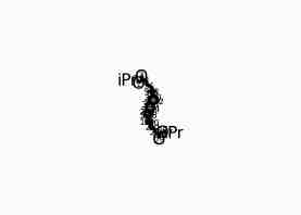 CC(C)OC(=O)CCCC(C)(C)c1ccc2cc3cc(C(C)(C)CCCC(=O)OC(C)C)ccc3cc2c1